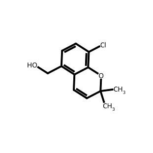 CC1(C)C=Cc2c(CO)ccc(Cl)c2O1